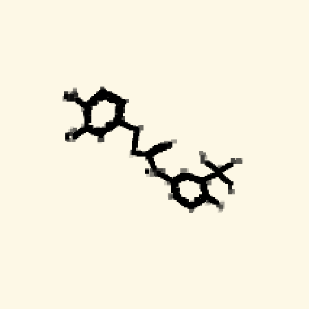 O=C(CCc1ccc(O)c(Cl)c1)Nc1ccc(Cl)c(C(F)(F)F)c1